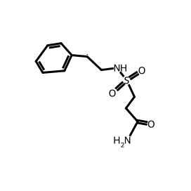 NC(=O)CCS(=O)(=O)NC[CH]c1ccccc1